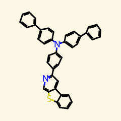 c1ccc(-c2ccc(N(c3ccc(-c4ccccc4)cc3)c3ccc(-c4cc5c(cn4)sc4ccccc45)cc3)cc2)cc1